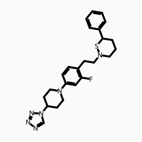 Fc1cc(N2CCC(n3cnnn3)CC2)ccc1CCN1CCCC(c2ccccc2)S1